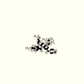 COCCCNc1nc(C(C)(C)C)ncc1C(=O)N(CC(C)C)[C@H]1C[C@@H](C(=O)N2CCS(=O)(=O)CC2)CN(C(=O)OC(C)(C)C)C1